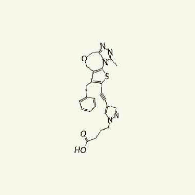 Cc1nnc2n1-c1sc(C#Cc3cnn(CCCC(=O)O)c3)c(Cc3ccccc3)c1COC2